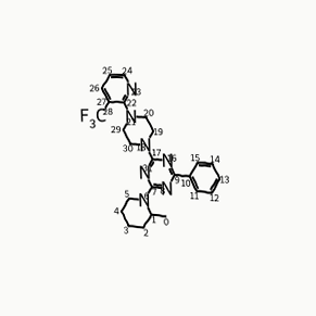 CC1CCCCN1c1nc(-c2ccccc2)nc(N2CCN(c3ncccc3C(F)(F)F)CC2)n1